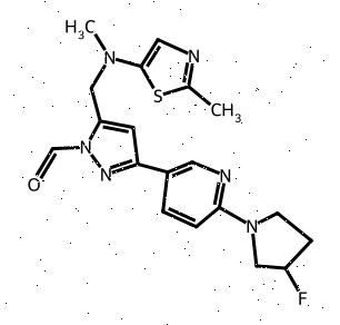 Cc1ncc(N(C)Cc2cc(-c3ccc(N4CCC(F)C4)nc3)nn2C=O)s1